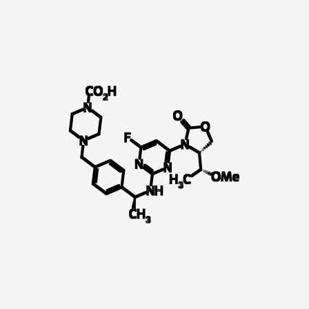 CO[C@H](C)[C@H]1COC(=O)N1c1cc(F)nc(N[C@@H](C)c2ccc(CN3CCN(C(=O)O)CC3)cc2)n1